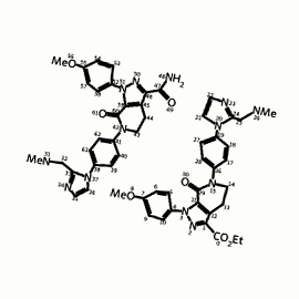 CCOC(=O)c1nn(-c2ccc(OC)cc2)c2c1CCN(c1ccc(-n3ccnc3CNC)cc1)C2=O.CNCc1nccn1-c1ccc(N2CCc3c(C(N)=O)nn(-c4ccc(OC)cc4)c3C2=O)cc1